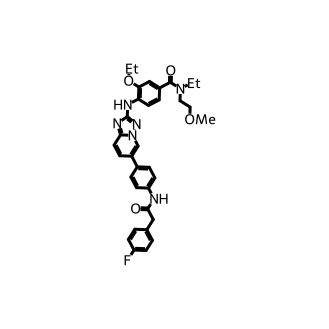 CCOc1cc(C(=O)N(CC)CCOC)ccc1Nc1nc2ccc(-c3ccc(NC(=O)Cc4ccc(F)cc4)cc3)cn2n1